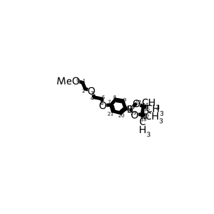 COCCOCCOc1ccc(B2OC(C)(C)C(C)(C)O2)cc1